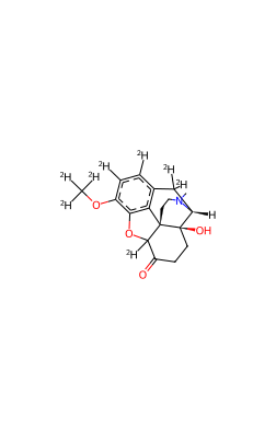 [2H]c1c([2H])c2c3c(c1OC([2H])([2H])[2H])OC1([2H])C(=O)CC[C@@]4(O)[C@H](N(C)CC[C@]314)C2([2H])[2H]